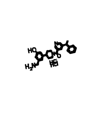 CC(c1ccccc1)c1cncc(C(=O)N2CCC(c3cc(O)cc(CN)c3)CC2)c1.Cl.Cl